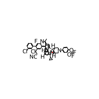 Cc1nc2c(F)c(-c3cccc(Cl)c3Cl)c(CCC#N)cc2c2c1cc([C@H]1[C@H]3C[C@H](CN(c4ccc5c(c4)OC(F)(F)O5)C3)N1C(=O)C1CC1)n2[C@H]1[C@H]2CN[C@@H]1C2